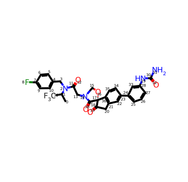 CC(N(Cc1ccc(F)cc1)C(=O)CN1CO[C@]2(C(=O)Cc3cc(-c4cccc(NC(N)=O)c4)ccc32)C1=O)C(F)(F)F